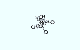 CC(C)(C)OC(=O)N(NC(=O)OCc1ccccc1)N(Cc1cccc(Cl)c1)C[C@@H](O)CCc1ccccc1